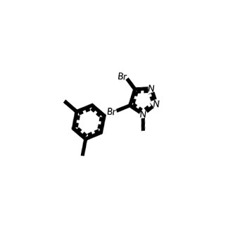 Cc1cccc(C)c1.Cn1nnc(Br)c1Br